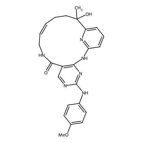 COc1ccc(Nc2ncc3c(n2)Nc2cccc(n2)C(C)(O)CC/C=C\CNC3=O)cc1